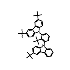 CC(C)(C)c1ccc2c(c1)c1ccccc1n2-c1cccc(-n2c3ccc(C(C)(C)C)cc3c3cc(C(C)(C)C)ccc32)c1C(C)(C)C